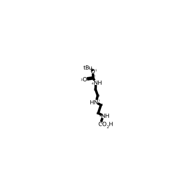 CC(C)(C)OC(=O)NCCNCCNC(=O)O